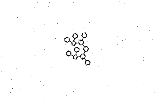 c1ccc(-c2cc(-c3cccc(-c4cc(-c5ccccc5)nc(-c5ccc(-c6ccccc6)n5-c5ccccc5)c4)c3)cc(-c3ccc(-c4ccccc4)n3-c3ccccc3)n2)cc1